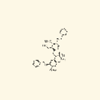 [2H]C1([2H])Cc2cc(OC)c(OCc3ccccc3)cc2C(Cc2ccc(OCc3ccccc3)c(OC)c2CO)N1